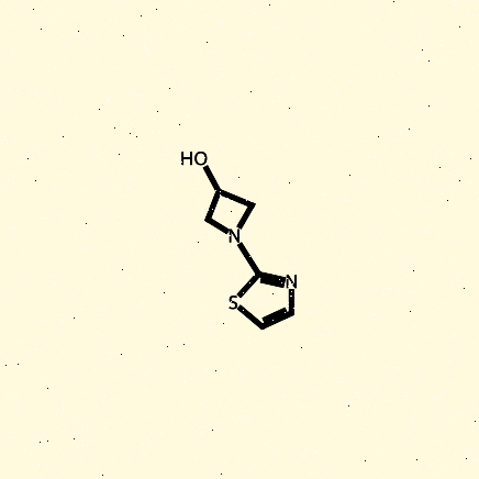 OC1CN(c2nccs2)C1